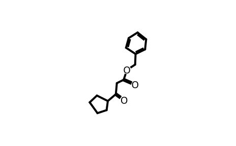 O=C(CC(=O)C1CCCC1)OCc1ccccc1